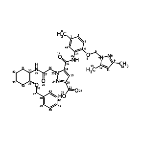 Cc1ccc(OCn2nc(C)cc2C)c(NC(=O)c2cc(C(=O)O)nn2CC(=O)NC2CCCC[C@@H]2OCc2ccccc2)c1